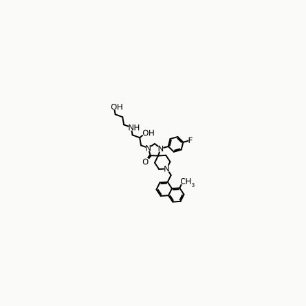 Cc1cccc2cccc(CN3CCC4(CC3)C(=O)N(CC(O)CNCCCO)CN4c3ccc(F)cc3)c12